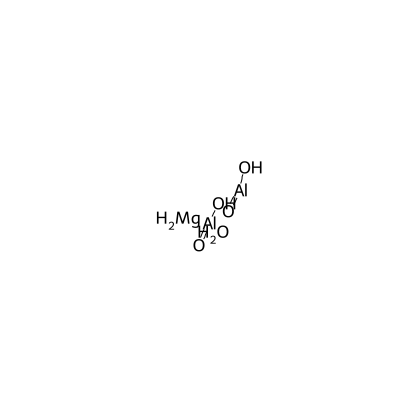 O.[MgH2].[O]=[Al][OH].[O]=[Al][OH]